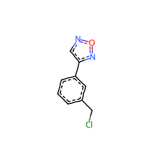 ClCc1cccc(-c2cnon2)c1